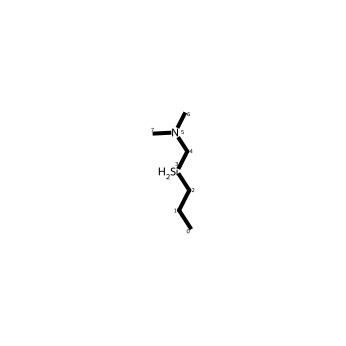 CCC[SiH2]CN(C)C